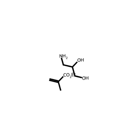 C=C(C)C(=O)OCC.NCC(O)CO